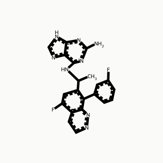 CC(Nc1nc(N)nc2[nH]cnc12)c1cc(F)c2ccnnc2c1-c1cccc(F)c1